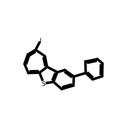 IC1=C=CC=c2sc3ccc(-c4ccccc4)cc3c2=C1